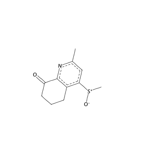 Cc1cc([S+](C)[O-])c2c(n1)C(=O)CCC2